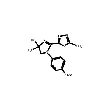 CSc1ccc(N2CC(O)(C(F)(F)F)N=C2c2nnc(C)s2)cc1